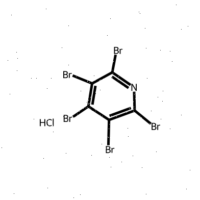 Brc1nc(Br)c(Br)c(Br)c1Br.Cl